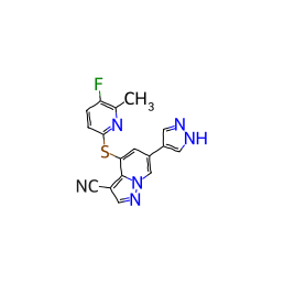 Cc1nc(Sc2cc(-c3cn[nH]c3)cn3ncc(C#N)c23)ccc1F